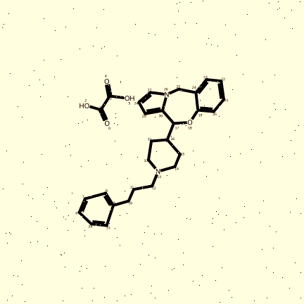 O=C(O)C(=O)O.c1ccc(CCCN2CCC(C3Oc4ccccc4Cn4cccc43)CC2)cc1